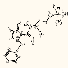 CC(C)(O)OCC[C@@H](O)[C@H](Cl)C(=O)N1C(=O)OC[C@@H]1Cc1ccccc1